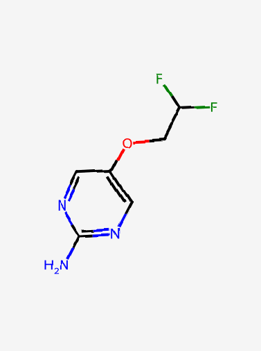 Nc1ncc(OCC(F)F)cn1